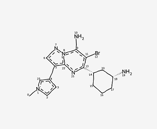 Cn1ccc(-c2cnn3c(N)c(Br)c([C@H]4CCC[C@@H](N)C4)nc23)c1